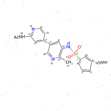 COc1cccc(S(=O)(=O)Nc2cc(-c3ccnc(NC(C)=O)c3)cnc2C)c1